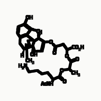 CC(=O)NC(CCCCN)C(=O)OC(C)C(=O)OC(CC(=O)OC1=CC[C@@]2(O)[C@H]3Cc4ccc(O)c5c4[C@@]2(CCN3C)[C@H]1O5)C(=O)O